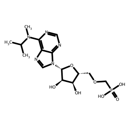 CC(C)N(C)c1ncnc2c1ncn2[C@@H]1O[C@H](COCP(=O)(O)O)[C@@H](O)[C@H]1O